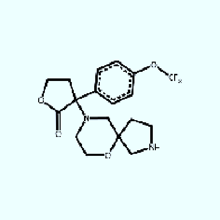 O=C1OCCC1(c1ccc(OC(F)(F)F)cc1)N1CCOC2(CCNC2)C1